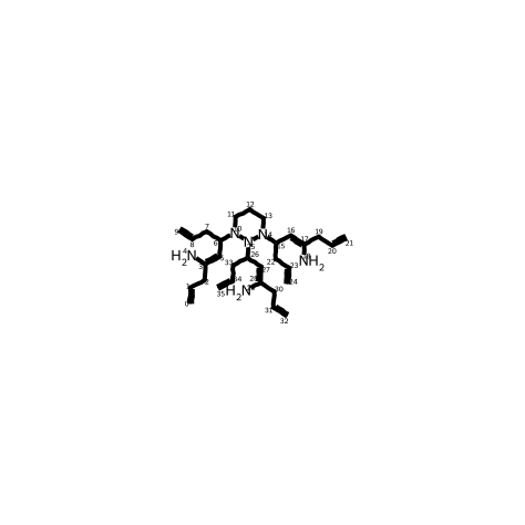 C=CCC(N)=CC(CC=C)N1CCCN(C(C=C(N)CC=C)CC=C)N1C(C=C(N)CC=C)CC=C